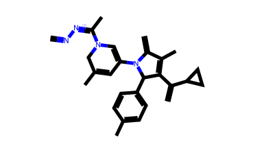 C=N/N=C(/C)N1C=C(N2C(=C)C(C)=C(C(=C)C3CC3)C2c2ccc(C)cc2)C=C(C)C1